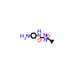 N[C@H]1CC[C@H](NC(=O)c2noc(C3CC3)n2)CC1